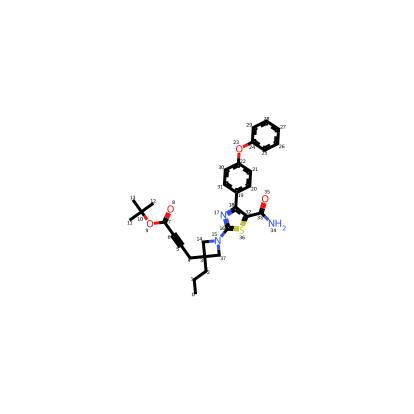 CCCC1(CC#CC(=O)OC(C)(C)C)CN(c2nc(-c3ccc(Oc4ccccc4)cc3)c(C(N)=O)s2)C1